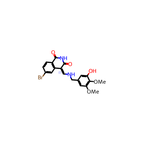 COc1cc(CN/C=C2\C(=O)NC(=O)c3ccc(Br)cc32)cc(O)c1OC